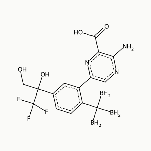 BC(B)(B)c1ccc(C(O)(CO)C(F)(F)F)cc1-c1cnc(N)c(C(=O)O)n1